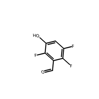 O=Cc1c(F)c(O)cc(F)c1F